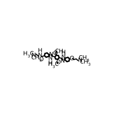 COc1cc(-c2nc3ccc(C(=O)NCCN(C)C)cc3[nH]2)c(OC)cc1-c1nc2ccc(OCCCN(C)C)cc2[nH]1